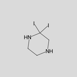 IC1(I)CNCCN1